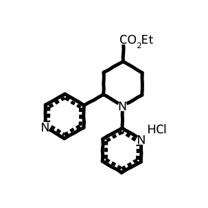 CCOC(=O)C1CCN(c2ccccn2)C(c2ccncc2)C1.Cl